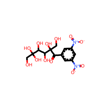 O=C(c1cc([N+](=O)[O-])cc([N+](=O)[O-])c1)C(O)(CO)C(O)C(O)C(O)(O)CO